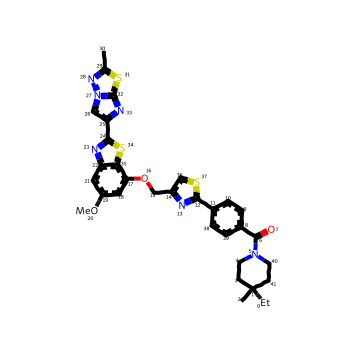 CCC1(C)CCN(C(=O)c2ccc(-c3nc(COc4cc(OC)cc5nc(-c6cn7nc(C)sc7n6)sc45)cs3)cc2)CC1